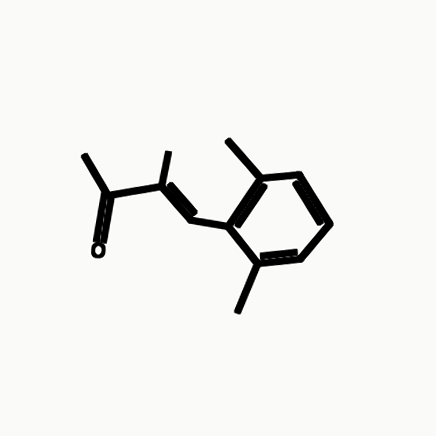 CC(=O)C(C)=Cc1c(C)cccc1C